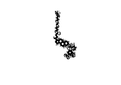 CC(CCC(=O)OCCOCCOCCN=[N+]=[N-])C1CCC2C3CC[C@@H]4C[C@H](NC(=O)C5CCCN5c5ccc([N+](=O)[O-])c6nonc56)CC[C@]4(C)C3CC[C@]12C